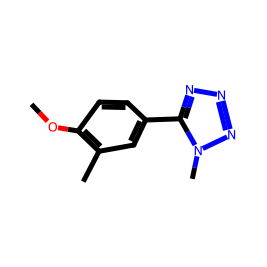 COc1ccc(-c2nnnn2C)cc1C